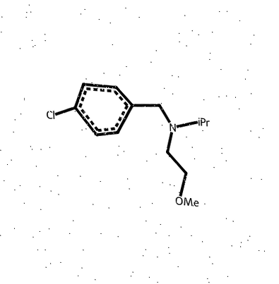 COCCN(Cc1ccc(Cl)cc1)C(C)C